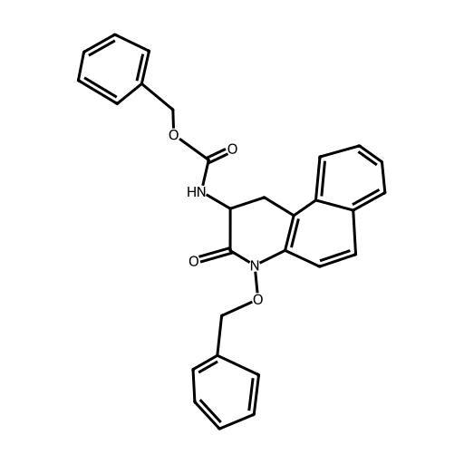 O=C(NC1Cc2c(ccc3ccccc23)N(OCc2ccccc2)C1=O)OCc1ccccc1